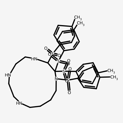 Cc1ccc(S(=O)(=O)C2NCCNCCNCCCCN(S(=O)(=O)c3ccc(C)cc3)C2(S(=O)(=O)c2ccc(C)cc2)S(=O)(=O)c2ccc(C)cc2)cc1